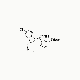 COc1cccc2c(C3CC(CN)c4cc(Cl)ccc43)c[nH]c12